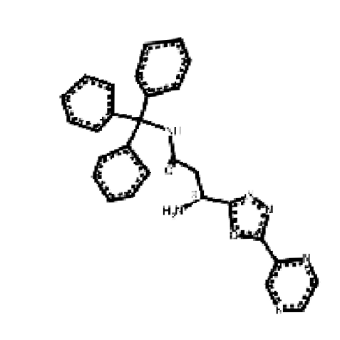 N[C@@H](CC(=O)NC(c1ccccc1)(c1ccccc1)c1ccccc1)c1nnc(-c2cnccn2)o1